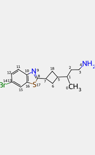 CC(CCN)C1CC(c2nc3ccc(Br)cc3s2)C1